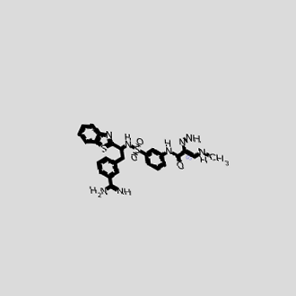 CN/C=C(\N=N)C(=O)Nc1cccc(S(=O)(=O)NC(Cc2cccc(C(=N)N)c2)c2nc3ccccc3s2)c1